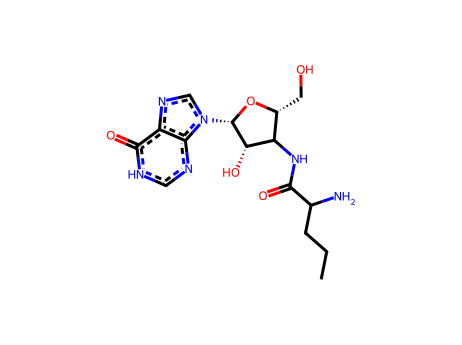 CCCC(N)C(=O)NC1[C@@H](CO)O[C@@H](n2cnc3c(=O)[nH]cnc32)[C@H]1O